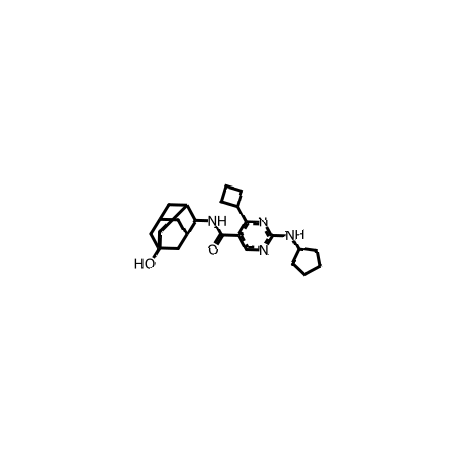 O=C(NC1C2CC3CC1CC(O)(C3)C2)c1cnc(NC2CCCC2)nc1C1CCC1